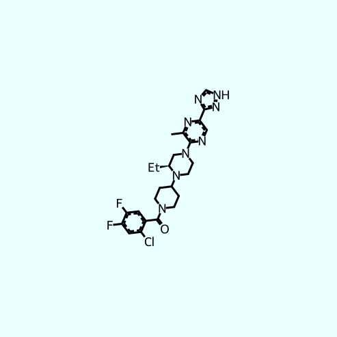 CC[C@H]1CN(c2ncc(-c3nc[nH]n3)nc2C)CCN1C1CCN(C(=O)c2cc(F)c(F)cc2Cl)CC1